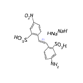 Nc1ccc(/C=C/c2ccc([N+](=O)[O-])cc2S(=O)(=O)O)c(S(=O)(=O)O)c1.[NaH].[NaH]